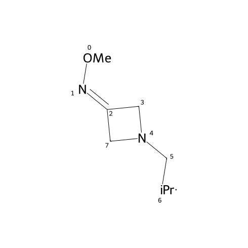 CON=C1CN(C[C](C)C)C1